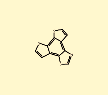 c1nc2c3ccsc3c3sccc3c2s1